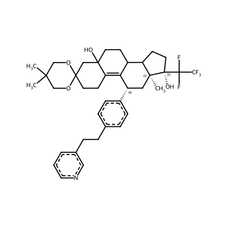 CC1(C)COC2(CCC3=C4C(CCC3(O)C2)C2CC[C@@](O)(C(F)(F)C(F)(F)F)[C@@]2(C)C[C@@H]4c2ccc(CCc3cccnc3)cc2)OC1